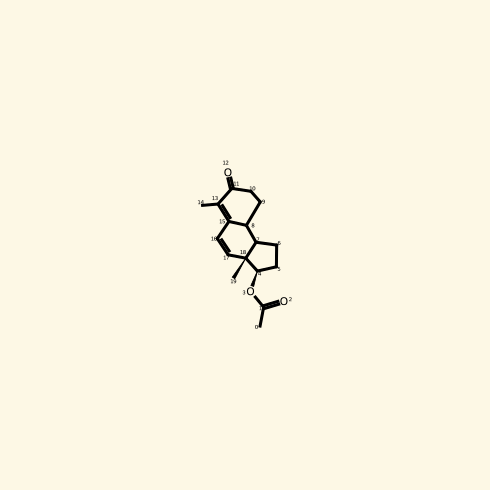 CC(=O)O[C@@H]1CCC2C3CCC(=O)C(C)=C3C=C[C@]21C